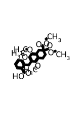 CCOC(=O)C1(C(=O)OCC)CCc2c(c(OC)cc(Cc3c(OC)cccc3C(=O)O)c2OC)C1